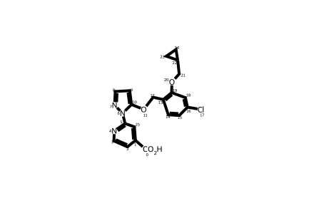 O=C(O)c1ccnc(-n2nccc2OCc2ccc(Cl)cc2OCC2CC2)c1